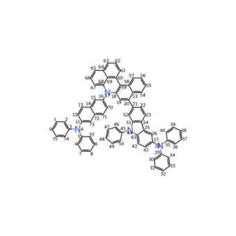 c1ccc(N(c2ccccc2)c2ccc3cc(N4c5cc(-c6ccc7c8cc(N(c9ccccc9)c9ccccc9)ccc8n(-c8ccccc8)c7c6)c6ccccc6c5-c5cccc6cccc4c56)ccc3c2)cc1